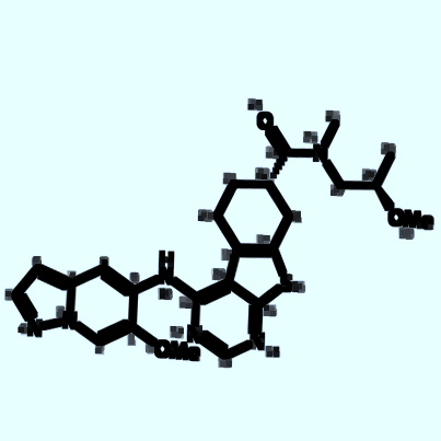 COc1cn2nccc2cc1Nc1ncnc2sc3c(c12)CC[C@H](C(=O)N(C)C[C@@H](C)OC)C3